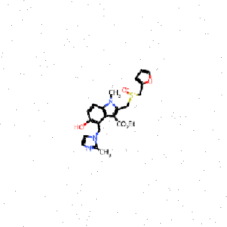 CCOC(=O)c1c(C[S+]([O-])Cc2ccco2)n(C)c2ccc(O)c(Cn3ccnc3C)c12